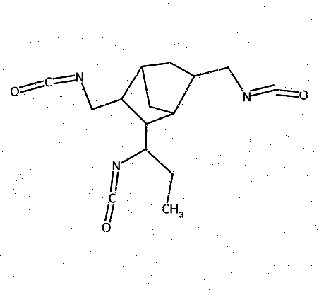 CCC(N=C=O)C1C(CN=C=O)C2CC(CN=C=O)C1C2